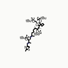 C/C(=C\C[C@H](O[Si](C)(C)C(C)(C)C)/C(C)=C/c1csc(C)n1)CCC[C@H](C)[C@H](O[Si](C)(C)C(C)(C)C)[C@@H](C)C(=O)C1([C@H](CCO[Si](C)(C)C(C)(C)C)O[Si](C)(C)C(C)(C)C)CCC1